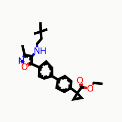 CCOC(=O)C1(c2ccc(-c3ccc(-c4onc(C)c4NCCC(C)(C)C)cc3)cc2)CC1